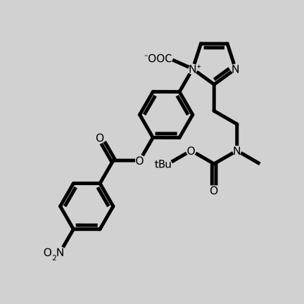 CN(CCC1=NC=C[N+]1(C(=O)[O-])c1ccc(OC(=O)c2ccc([N+](=O)[O-])cc2)cc1)C(=O)OC(C)(C)C